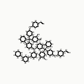 C=Cc1ccc(Oc2ccc(C3(c4ccc(F)c(C)c4)c4ccccc4-c4ccc(N(c5cccc(-c6cccc(-c7ccccc7)c6)c5)c5ccc6c(c5)C(c5ccc(Oc7ccc(C=C)cc7)cc5)(c5ccc(F)c(C)c5)c5ccccc5-6)cc43)cc2)cc1